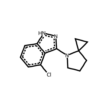 Clc1cccc2[nH]nc(N3CCCC34CC4)c12